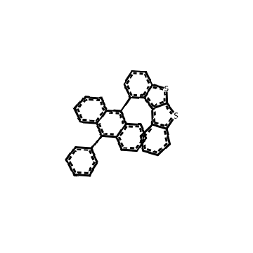 c1ccc(-c2c3ccccc3c(-c3cccc4sc5sc6ccccc6c5c34)c3ccccc23)cc1